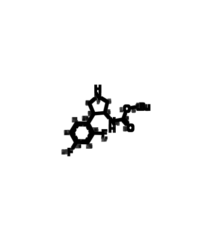 CC(C)(C)OC(=O)NC1CNCC1c1ccc(F)cc1F